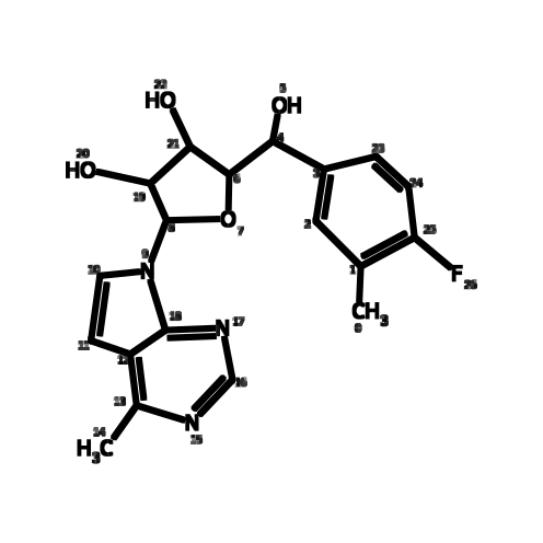 Cc1cc(C(O)C2OC(n3ccc4c(C)ncnc43)C(O)C2O)ccc1F